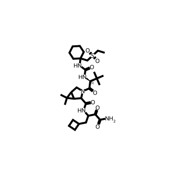 CCS(=O)(=O)CC1(NC(=O)N[C@H](C(=O)N2CC3C(C2C(=O)NC(CC2CCC2)C(=O)C(N)=O)C3(C)C)C(C)(C)C)CCCCC1